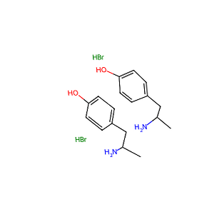 Br.Br.CC(N)Cc1ccc(O)cc1.CC(N)Cc1ccc(O)cc1